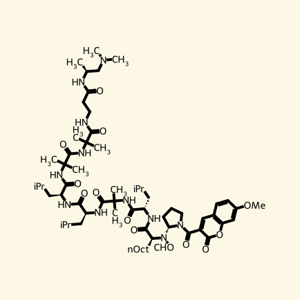 CCCCCCCC[C@@H](C(=O)N[C@@H](CC(C)C)C(=O)NC(C)(C)C(=O)N[C@@H](CC(C)C)C(=O)N[C@@H](CC(C)C)C(=O)NC(C)(C)C(=O)NC(C)(C)C(=O)NCCC(=O)N[C@@H](C)CN(C)C)N(C=O)[C@@H]1CCCN1C(=O)c1cc2ccc(OC)cc2oc1=O